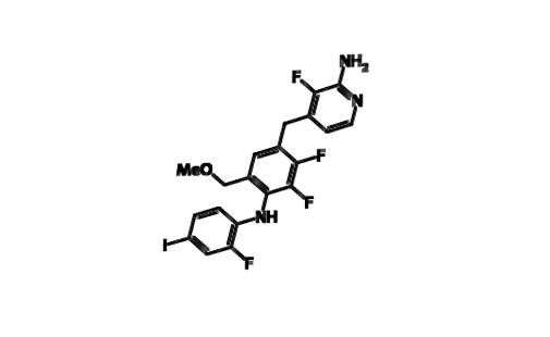 COCc1cc(Cc2ccnc(N)c2F)c(F)c(F)c1Nc1ccc(I)cc1F